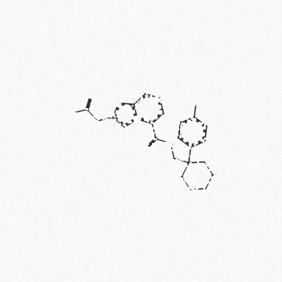 O=C(O)Cc1cn2c(C(=O)NCC3(c4ccc(Cl)cc4)CCCCC3)cccc2n1